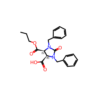 CCCOC(=O)[C@@H]1[C@H](C(=O)O)N(Cc2ccccc2)C(=O)N1Cc1ccccc1